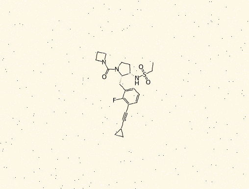 CCS(=O)(=O)N[C@H]1CCN(C(=O)N2CCC2)[C@H]1Cc1cccc(C#CC2CC2)c1F